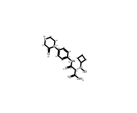 CCN(C1CCC1)[C@H](C(N)=O)C(=O)Nc1ccc(N2CCOCC2=O)cc1